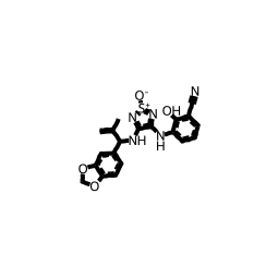 C=C(C)C(Nc1n[s+]([O-])nc1Nc1cccc(C#N)c1O)c1ccc2c(c1)OCO2